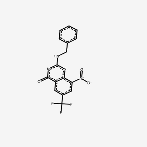 O=c1nc(NCc2ccccc2)sc2c([N+](=O)[O-])cc(C(F)(F)F)cc12